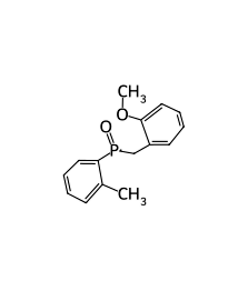 COc1ccccc1C[P](=O)c1ccccc1C